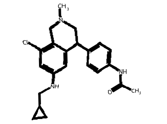 CC(=O)Nc1ccc(C2CN(C)Cc3c(Cl)cc(NCC4CC4)cc32)cc1